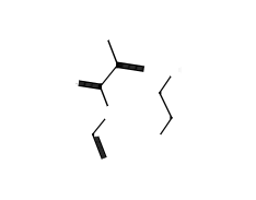 C=COC(=O)C(=C)C.OCCO